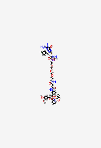 CCC(C)(C)C(=O)C(=O)N1CCCCC1C(=O)OC(CCc1ccc(OC)c(OC)c1)c1cccc(NC(=O)CCC(=O)NCCCOCCOCCOCCCNC(=O)[C@H](CSc2nc3c(=O)[nH]c(N)nc3n2Cc2ccc(F)cc2)NC(C)=O)c1